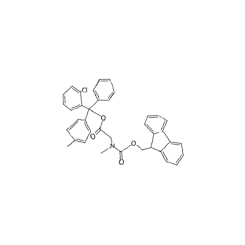 Cc1ccc(C(OC(=O)CN(C)C(=O)OCC2c3ccccc3-c3ccccc32)(c2ccccc2)c2ccccc2Cl)cc1